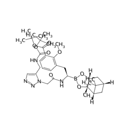 COc1c(C[C@H](NC(=O)Cn2nncc2CNC(=O)OC(C)(C)C)B2O[C@@H]3C[C@@H]4C[C@@H](C4(C)C)[C@]3(C)O2)cccc1C(=O)OC(C)(C)C